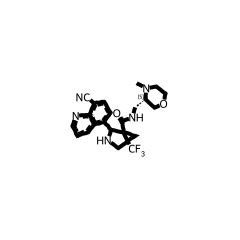 CN1CCOC[C@@H]1CNC(=O)C12CC1(C(F)(F)F)CNC2c1ccc(C#N)c2ncccc12